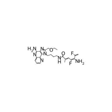 C=C(F)/C(N)=C(F)\C=C(/C)C(=O)NCCCCn1c(COCC)nc2c(N)nc3cccnc3c21